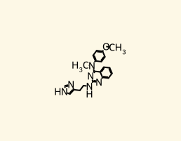 COc1ccc(N(C)c2nc(NCCc3c[nH]cn3)nc3ccccc23)cc1